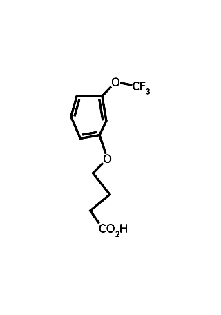 O=C(O)CCCOc1cccc(OC(F)(F)F)c1